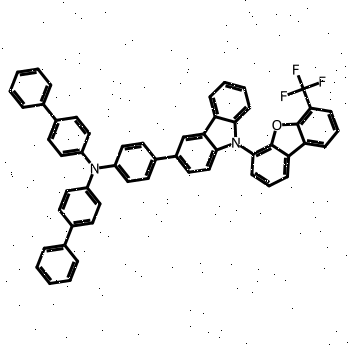 FC(F)(F)c1cccc2c1oc1c(-n3c4ccccc4c4cc(-c5ccc(N(c6ccc(-c7ccccc7)cc6)c6ccc(-c7ccccc7)cc6)cc5)ccc43)cccc12